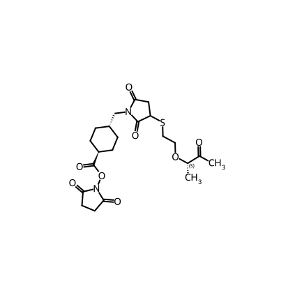 CC(=O)[C@H](C)OCCSC1CC(=O)N(C[C@H]2CC[C@H](C(=O)ON3C(=O)CCC3=O)CC2)C1=O